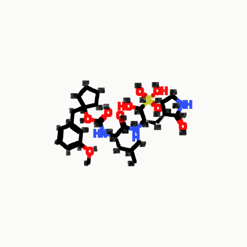 COc1cccc(CC2(OC(=O)N[C@@H](CC(C)C)C(=O)N[C@@H](C[C@@H]3CCNC3=O)C(O)S(=O)(=O)O)CCCC2)c1